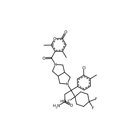 Cc1ccc(C(CC(N)=O)(N2CC3CN(C(=O)c4c(C)cc(=O)oc4C)CC3C2)C2(C(=O)O)CCC(F)(F)CC2)cc1Cl